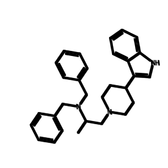 CC(CN1CCC(c2c[nH]c3ccccc23)CC1)N(Cc1ccccc1)Cc1ccccc1